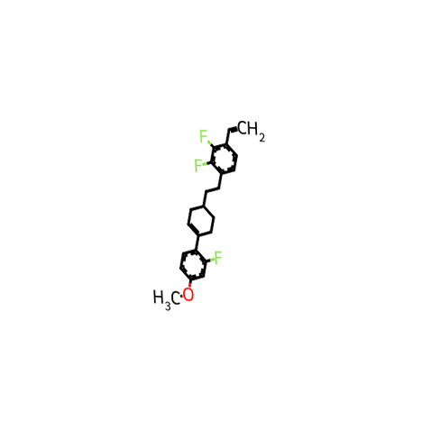 C=Cc1ccc(CCC2CC=C(c3ccc(OC)cc3F)CC2)c(F)c1F